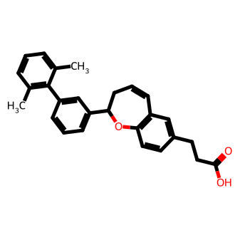 Cc1cccc(C)c1-c1cccc(C2CC=Cc3cc(CCC(=O)O)ccc3O2)c1